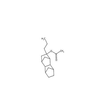 CCCC1(OC(C)=O)CC2CC1C1C3CCC(C3)C21